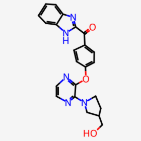 O=C(c1ccc(Oc2nccnc2N2CCC(CO)C2)cc1)c1nc2ccccc2[nH]1